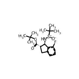 CC(C)(C)OC(=O)[C@H]1Cc2cccc(F)c2[C@@H]1N[S@+]([O-])C(C)(C)C